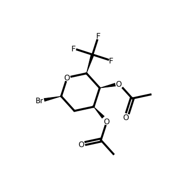 CC(=O)O[C@H]1[C@@H](OC(C)=O)C[C@@H](Br)O[C@H]1C(F)(F)F